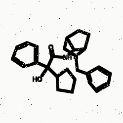 O=C(NC1C2CCC1N(Cc1ccccc1)C2)C(O)(c1ccccc1)C1CCCC1